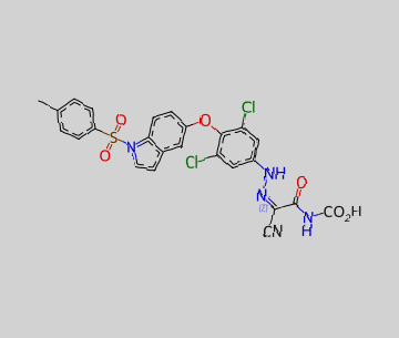 Cc1ccc(S(=O)(=O)n2ccc3cc(Oc4c(Cl)cc(N/N=C(/C#N)C(=O)NC(=O)O)cc4Cl)ccc32)cc1